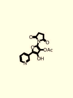 CC(=O)Oc1c(N2C(=O)CCC2=O)oc(-c2cccnc2)c1O